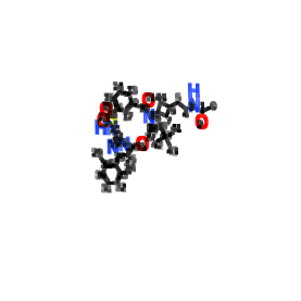 CC(=O)NCCC1CC(N2C(=O)c3cccc(c3)S(=O)(=O)Nc3nc(cc(-c4c(C)cccc4C)n3)OC[C@H]2CC(C)(C)C)C1